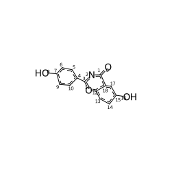 O=c1nc(-c2ccc(O)cc2)oc2ccc(O)cc12